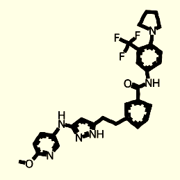 COc1ccc(Nc2cc(CCc3cccc(C(=O)Nc4ccc(N5CCCC5)c(C(F)(F)F)c4)c3)[nH]n2)cn1